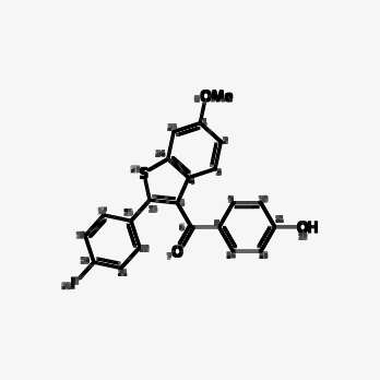 COc1ccc2c(C(=O)c3ccc(O)cc3)c(-c3ccc(F)cc3)sc2c1